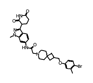 Cc1cc(OCC2CC3(CCN(CC(=O)Nc4ccc5c(C6CCC(=O)NC6=O)nn(C)c5c4)CC3)C2)ccc1Br